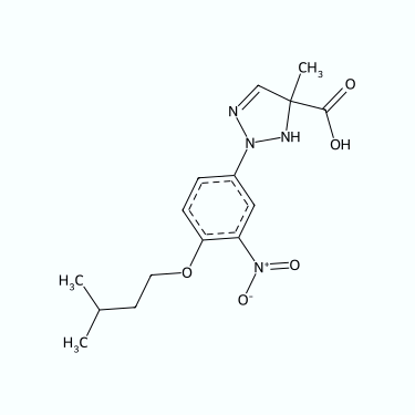 CC(C)CCOc1ccc(N2N=CC(C)(C(=O)O)N2)cc1[N+](=O)[O-]